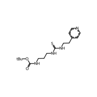 CC(C)(C)OC(=O)NCCCNC(=S)NCCc1ccncc1